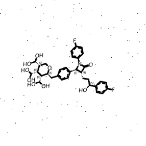 O=C1[C@H](CC[C@H](O)c2ccc(F)cc2)[C@@H](c2ccc(C[C@@H]3OC[C@@H](C(O)O)[C@@H](C(O)O)[C@H]3C(O)O)cc2)N1c1ccc(F)cc1